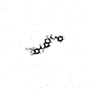 NS(=O)(=O)c1cc(C(=O)Nc2ccc3c(c2)CN[C@H](C(=O)OCc2ccccc2)C3)ccc1Cl